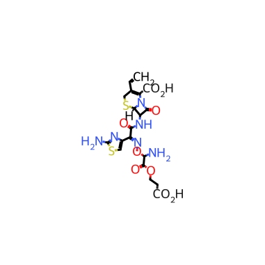 C=CC1=C(C(=O)O)N2C(=O)C(NC(=O)C(=NOC(N)C(=O)OCCC(=O)O)c3csc(N)n3)[C@@H]2SC1